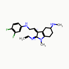 C=C/N=C1\C(=C/CNc2ccc(F)c(F)c2)C2=C(CCC(NC)C2)N1C